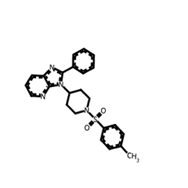 Cc1ccc(S(=O)(=O)N2CCC(n3c(-c4ccccc4)nc4cccnc43)CC2)cc1